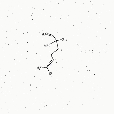 C=CC(C)(CC/C=C(\C)CC)OC(C)=O